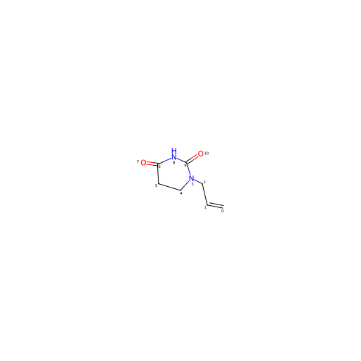 C=CCN1CCC(=O)NC1=O